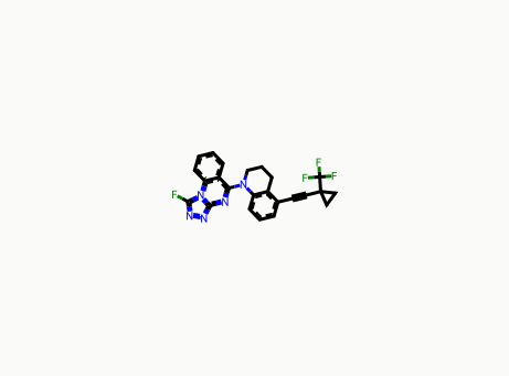 Fc1nnc2nc(N3CCCc4c(C#CC5(C(F)(F)F)CC5)cccc43)c3ccccc3n12